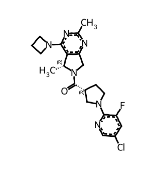 Cc1nc2c(c(N3CCC3)n1)[C@@H](C)N(C(=O)[C@@H]1CCN(c3ncc(Cl)cc3F)C1)C2